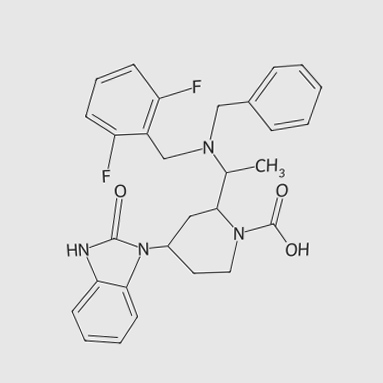 CC(C1CC(n2c(=O)[nH]c3ccccc32)CCN1C(=O)O)N(Cc1ccccc1)Cc1c(F)cccc1F